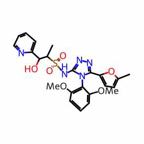 COc1cccc(OC)c1-n1c(NS(=O)(=O)C(C)C(O)c2ccccn2)nnc1-c1ccc(C)o1